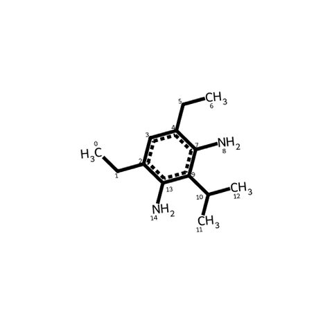 CCc1cc(CC)c(N)c(C(C)C)c1N